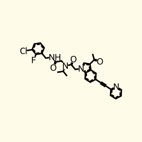 CC(=O)c1cn(CC(=O)N(CC(=O)NCc2cccc(Cl)c2F)C(C)C)c2ccc(C#Cc3ccccn3)cc12